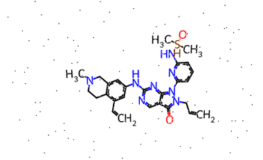 C=CCn1c(=O)c2cnc(Nc3cc(C=C)c4c(c3)CN(C)CC4)nc2n1-c1cccc(N[SH](C)(C)=O)n1